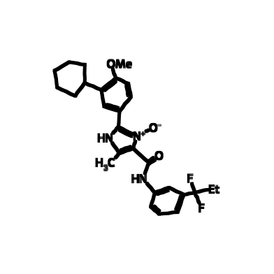 CCC(F)(F)c1cccc(NC(=O)c2c(C)[nH]c(-c3ccc(OC)c(C4CCCCC4)c3)[n+]2[O-])c1